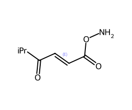 CC(C)C(=O)/C=C/C(=O)ON